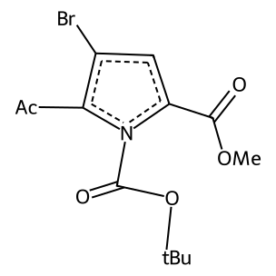 COC(=O)c1cc(Br)c(C(C)=O)n1C(=O)OC(C)(C)C